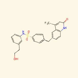 O=c1cc(C(F)(F)F)c2cc(Cc3ccc(S(=O)(=O)Nc4cccc(CCO)c4)cc3)ccc2[nH]1